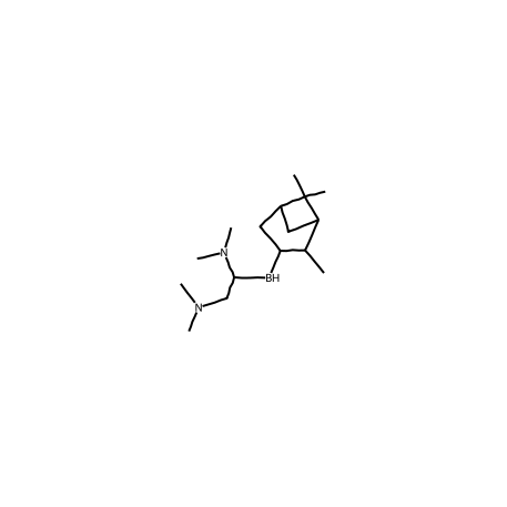 CC1C(BC(CN(C)C)N(C)C)CC2CC1C2(C)C